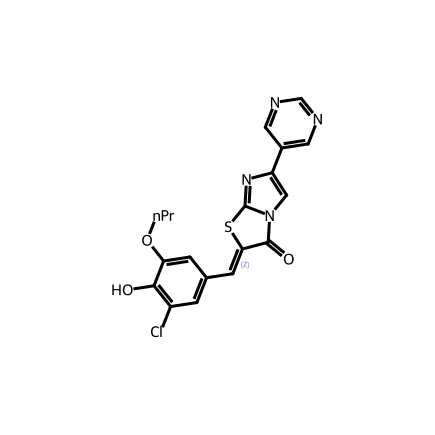 CCCOc1cc(/C=c2\sc3nc(-c4cncnc4)cn3c2=O)cc(Cl)c1O